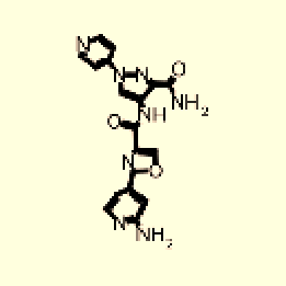 NC(=O)c1nn(-c2ccncc2)cc1NC(=O)c1coc(-c2ccnc(N)c2)n1